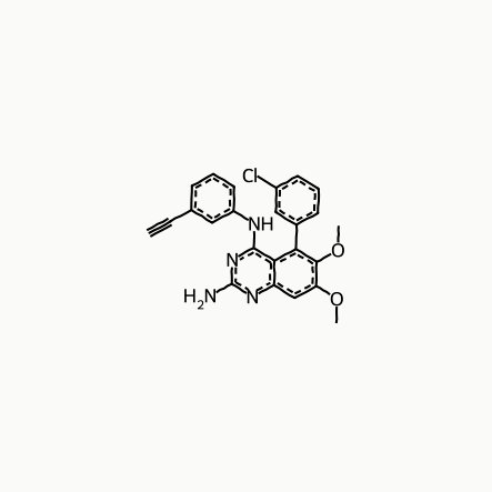 C#Cc1cccc(Nc2nc(N)nc3cc(OC)c(OC)c(-c4cccc(Cl)c4)c23)c1